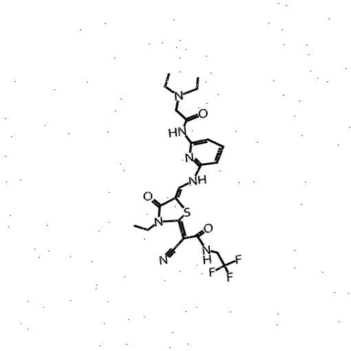 CCN(CC)CC(=O)Nc1cccc(NC=c2sc(=C(C#N)C(=O)NCC(F)(F)F)n(CC)c2=O)n1